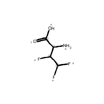 NC(C(=O)O)C(F)C(F)F